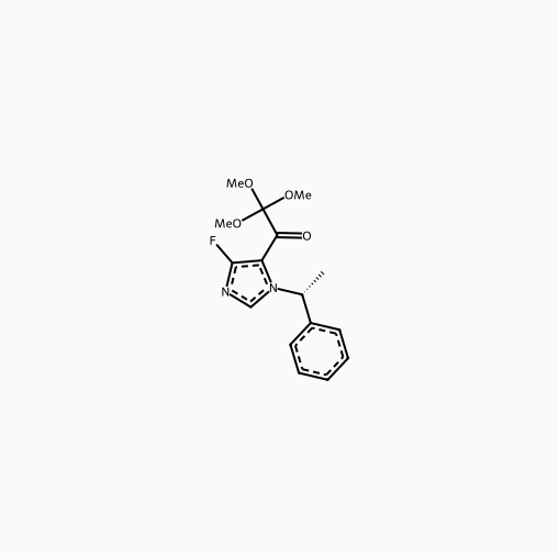 COC(OC)(OC)C(=O)c1c(F)ncn1[C@H](C)c1ccccc1